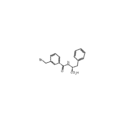 O=C(N[C@@H](Cc1ccccc1)C(=O)O)c1cccc(CBr)c1